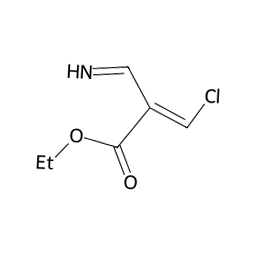 CCOC(=O)/C(C=N)=C/Cl